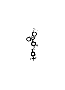 CN1CCN(CC(c2ccc(OCc3ccc(C(F)(F)F)cc3)c(F)c2)C2(O)CCCCC2)CC1